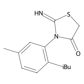 CCC(C)c1ccc(C)cc1N1C(=N)SCC1=O